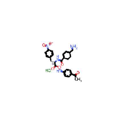 CC(=O)c1ccc(NOC(=O)[C@H](Cc2ccc([N+](=O)[O-])cc2)NC(=O)C2CCC(CN)CC2)cc1.Cl